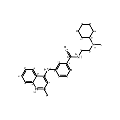 Cc1cc(Nc2cccc(C(=O)NCCN(C)C3CCCCC3)c2)c2ccccc2n1